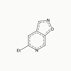 CCc1cc2cnoc2cn1